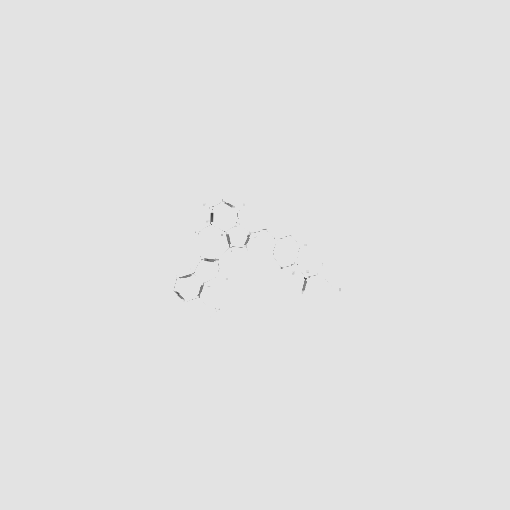 COc1cccc2cc(-c3cc(CN4CCN(C(=O)OC(C)(C)C)CC4)n4ncnc(N)c34)sc12